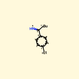 CCc1ccc(C(=N)C(C)CC)cc1